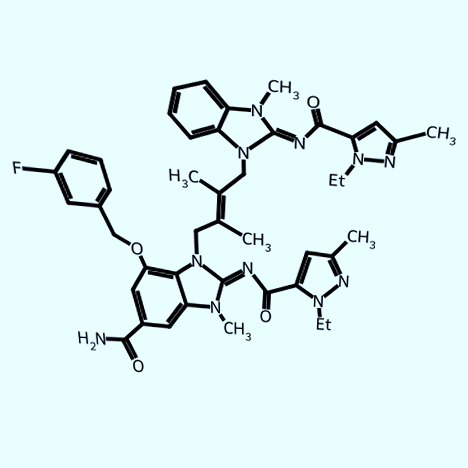 CCn1nc(C)cc1C(=O)/N=c1\n(C)c2ccccc2n1C/C(C)=C(\C)Cn1/c(=N/C(=O)c2cc(C)nn2CC)n(C)c2cc(C(N)=O)cc(OCc3cccc(F)c3)c21